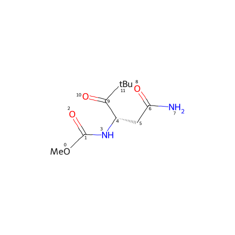 COC(=O)N[C@@H](CC(N)=O)C(=O)C(C)(C)C